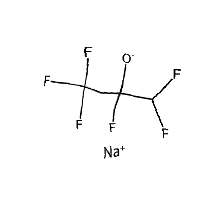 [Na+].[O-]C(F)(C(F)F)C(F)(F)F